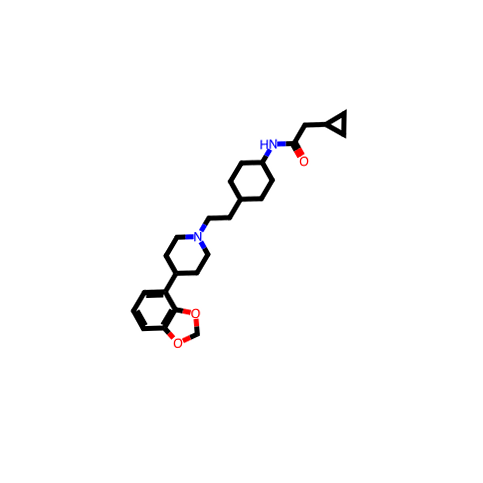 O=C(CC1CC1)NC1CCC(CCN2CCC(c3cccc4c3OCO4)CC2)CC1